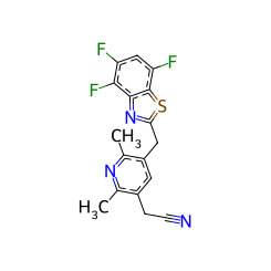 Cc1nc(C)c(Cc2nc3c(F)c(F)cc(F)c3s2)cc1CC#N